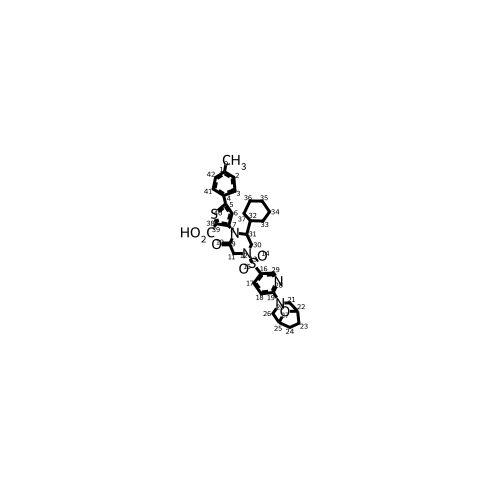 Cc1ccc(-c2cc(N3C(=O)CN(S(=O)(=O)c4ccc(N5CC6CCC(C5)O6)nc4)CC3C3CCCCC3)c(C(=O)O)s2)cc1